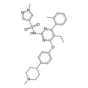 CCc1c(Oc2ccc(C3CCN(C)CC3)cc2)nc(NS(=O)(=O)c2cnn(C)c2)nc1-c1ccccc1C